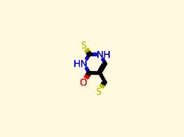 O=c1[nH]c(=S)[nH]cc1C=S